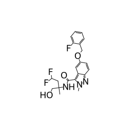 Cn1nc2ccc(OCc3ccccc3F)cc2c1C(=O)NC(C)(CO)CC(F)F